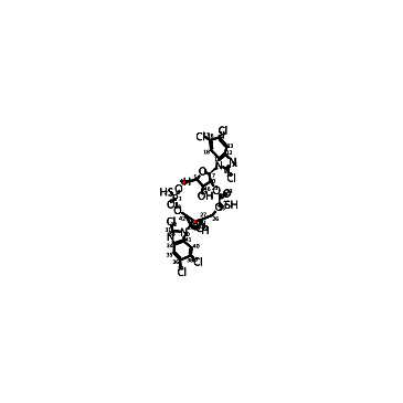 O=P1(S)OC[C@H]2O[C@@H](n3c(Cl)nc4cc(Cl)c(Cl)cc43)C(OP(=O)(S)OC[C@H]3O[C@@H](n4c(Cl)nc5cc(Cl)c(Cl)cc54)C(O1)C3O)C2O